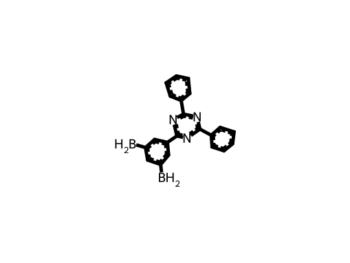 Bc1cc(B)cc(-c2nc(-c3ccccc3)nc(-c3ccccc3)n2)c1